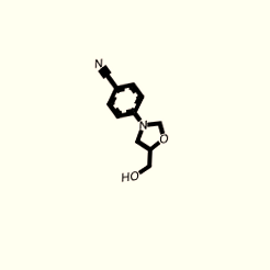 N#Cc1ccc(N2COC(CO)C2)cc1